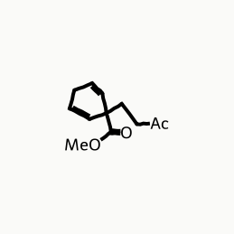 COC(=O)C1(CCC(C)=O)C=CCC=C1